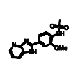 COc1cc(-c2nc3ncccc3[nH]2)ccc1NS(C)(=O)=O